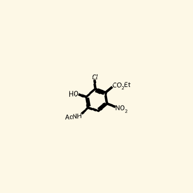 CCOC(=O)c1c([N+](=O)[O-])cc(NC(C)=O)c(O)c1Cl